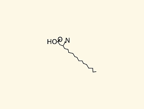 CCCCCCCCCCCCCCC(C#N)CC(=O)O